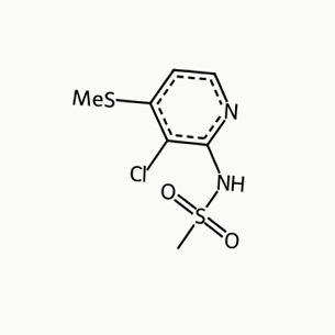 CSc1ccnc(NS(C)(=O)=O)c1Cl